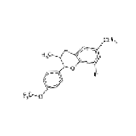 Cc1cc(F)c2c(c1)CC(C)C(c1ccc(OC(F)(F)F)cc1)O2